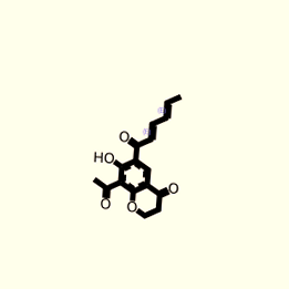 C/C=C/C=C/C(=O)c1cc2c(c(C(C)=O)c1O)OCCC2=O